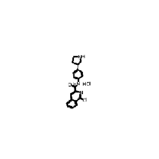 Cl.O=C(Nc1ccc([C@H]2CCNC2)cc1)c1cc2ccccc2c(Cl)n1